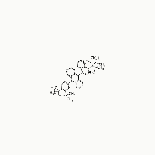 CC(C)[Si](c1ccc(-c2c3ccccc3c(-c3ccc4c(c3)C(C)(C)CCC4(C)C)c3ccccc23)c2ccccc12)(C(C)C)C(C)C